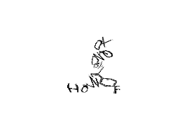 CC(C)(C)OC(=O)N1CCC[C@H]1Cc1cn(CCO)c2cc(F)ccc12